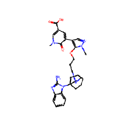 Cn1ncc(-c2cc(C(=O)O)cn(C)c2=O)c1OCCN1CC2CCC(n3c(N)nc4ccccc43)(CC2)C1